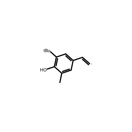 [C]=Cc1cc(C)c(O)c(C(C)(C)C)c1